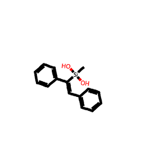 C[Si](O)(O)C(=Cc1ccccc1)c1ccccc1